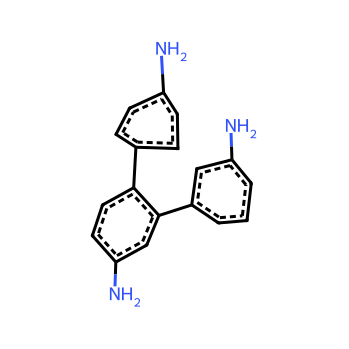 Nc1ccc(-c2ccc(N)cc2-c2cccc(N)c2)cc1